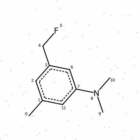 Cc1cc(CF)cc(N(C)C)c1